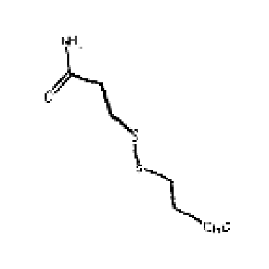 NC(=O)CCSSCCC=O